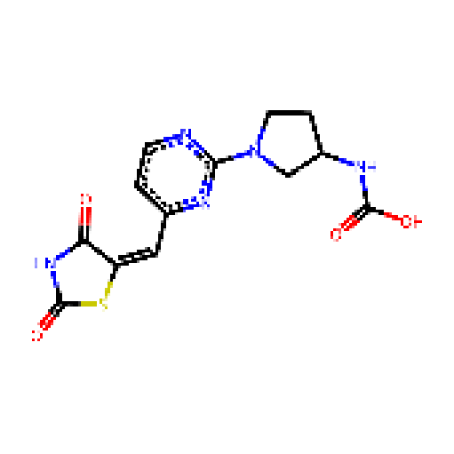 O=C(O)NC1CCN(c2nccc(C=C3SC(=O)NC3=O)n2)C1